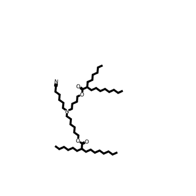 CCCCCCCCC(CCCCCC)C(=O)OCCCCCCN(CCCCCC#N)CCCCOC(=O)C(CCCCCC)CCCCCCCC